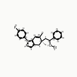 CCOC(C[C@@]1(C)Cc2cnn(-c3ccc(F)cc3)c2C=C1C)c1ccccc1